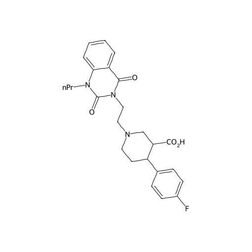 CCCn1c(=O)n(CCN2CCC(c3ccc(F)cc3)C(C(=O)O)C2)c(=O)c2ccccc21